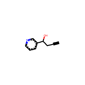 C#CCC(O)c1cccnc1